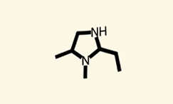 CCC1NCC(C)N1C